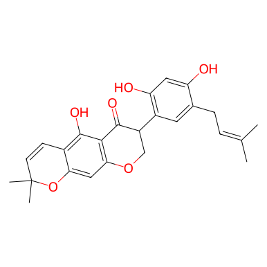 CC(C)=CCc1cc(C2COc3cc4c(c(O)c3C2=O)C=CC(C)(C)O4)c(O)cc1O